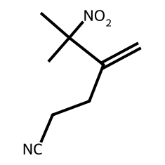 C=C(CCC#N)C(C)(C)[N+](=O)[O-]